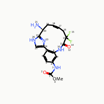 COC(=O)Nc1ccc2c(c1)NC(=O)C(F)(F)CC=CC[C@H](N)c1nc-2c[nH]1